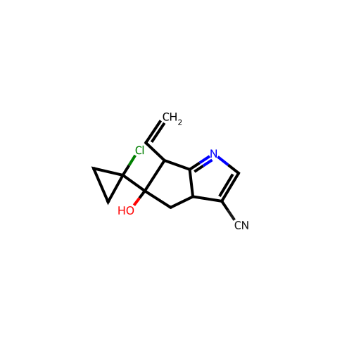 C=CC1C2=NC=C(C#N)C2CC1(O)C1(Cl)CC1